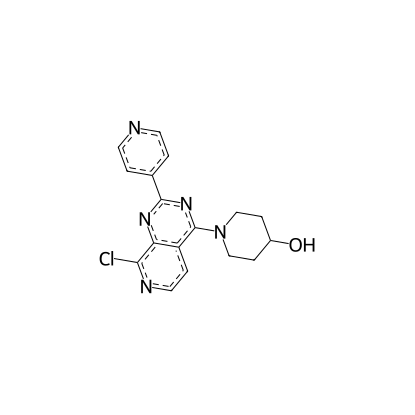 OC1CCN(c2nc(-c3ccncc3)nc3c(Cl)nccc23)CC1